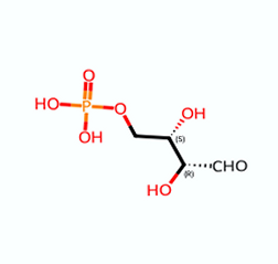 O=C[C@H](O)[C@@H](O)COP(=O)(O)O